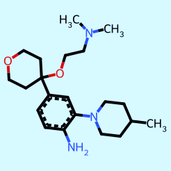 CC1CCN(c2cc(C3(OCCN(C)C)CCOCC3)ccc2N)CC1